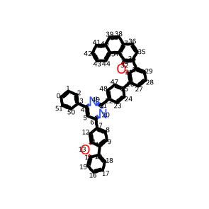 c1ccc(-c2cc(-c3ccc4c(c3)oc3ccccc34)nc(-c3ccc(-c4cccc5c4oc4c5ccc5ccc6ccccc6c54)cc3)n2)cc1